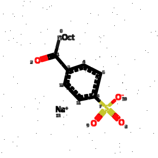 CCCCCCCCC(=O)c1ccc(S(=O)(=O)[O-])cc1.[Na+]